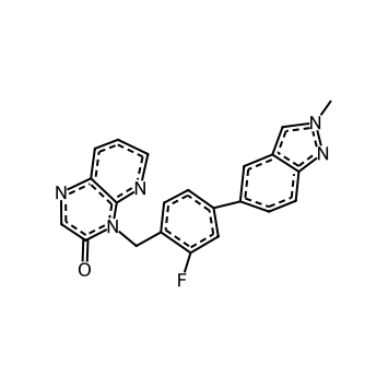 Cn1cc2cc(-c3ccc(Cn4c(=O)cnc5cccnc54)c(F)c3)ccc2n1